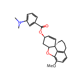 COc1ccc2c3c1OC1C[C@@H](OC(=O)c4cccc(N(C)C)c4)C=C[C@@]31CCCC2